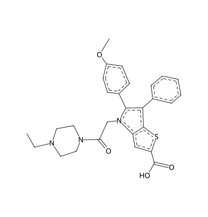 CCN1CCN(C(=O)Cn2c(-c3ccc(OC)cc3)c(-c3ccccc3)c3sc(C(=O)O)cc32)CC1